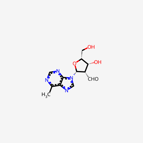 Cc1ncnc2c1ncn2[C@@H]1O[C@H](CO)[C@H](O)[C@@H]1C=O